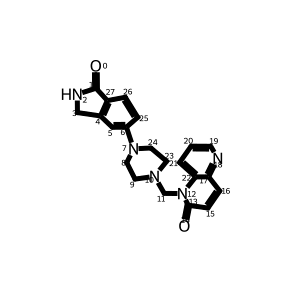 O=C1NCc2cc(N3CCN(Cn4c(=O)ccc5ncccc54)CC3)ccc21